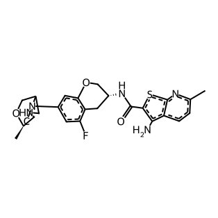 Cc1ccc2c(N)c(C(=O)N[C@H]3COc4cc(N5C[C@]6(C)CNCC5CO6)cc(F)c4C3)sc2n1